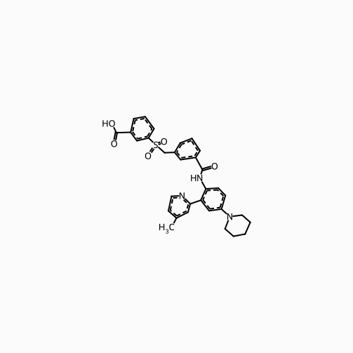 Cc1ccnc(-c2cc(N3CCCCC3)ccc2NC(=O)c2cccc(CS(=O)(=O)c3cccc(C(=O)O)c3)c2)c1